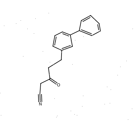 N#CCC(=O)CCc1cccc(-c2ccccc2)c1